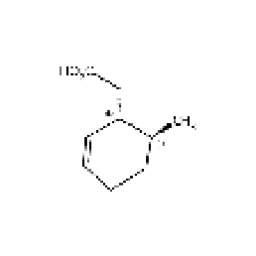 C[C@H]1CCC=C[C@@H]1CC(=O)O